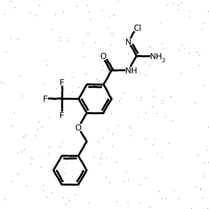 NC(=NCl)NC(=O)c1ccc(OCc2ccccc2)c(C(F)(F)F)c1